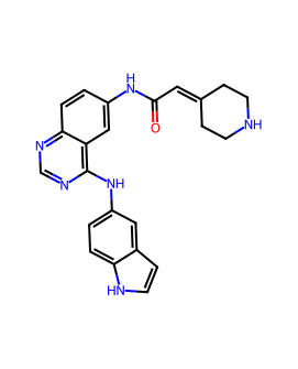 O=C(C=C1CCNCC1)Nc1ccc2ncnc(Nc3ccc4[nH]ccc4c3)c2c1